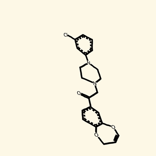 O=C(CN1CCN(c2cccc(Cl)c2)CC1)c1ccc2c(c1)OC=CCO2